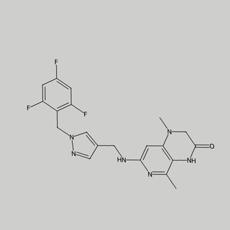 Cc1nc(NCc2cnn(Cc3c(F)cc(F)cc3F)c2)cc2c1NC(=O)CN2C